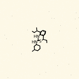 CCC(C)c1cccc(C(C)CC)c1NC(=S)NC1CCCC(C)C1